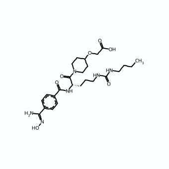 CCCCNC(=O)NCCC[C@H](NC(=O)c1ccc(/C(N)=N/O)cc1)C(=O)N1CCC(OCC(=O)O)CC1